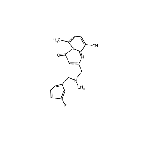 Cc1ccc(O)c2nc(CN(C)Cc3cccc(F)c3)cc(=O)n12